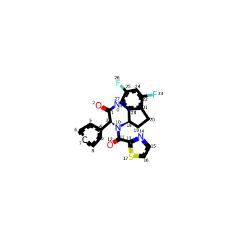 NC(=O)[C@@H](c1ccccc1)N(C(=O)c1nccs1)[C@@H]1CCc2c(F)cc(F)cc21